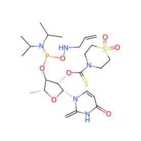 C=CCNOP(OC1[C@@H](C)O[C@@H](N2C=CC(=O)NC2=C)[C@H]1OC(=S)N1CCS(=O)(=O)CC1)N(C(C)C)C(C)C